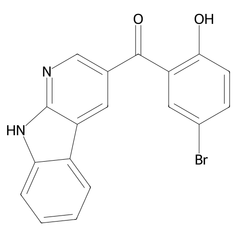 O=C(c1cnc2[nH]c3ccccc3c2c1)c1cc(Br)ccc1O